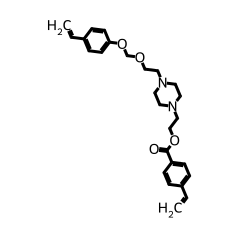 C=Cc1ccc(OCOCCN2CCN(CCOC(=O)c3ccc(C=C)cc3)CC2)cc1